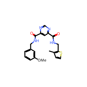 COc1cccc(CNC(=O)c2cc(C(=O)NCc3sccc3C)ncn2)c1